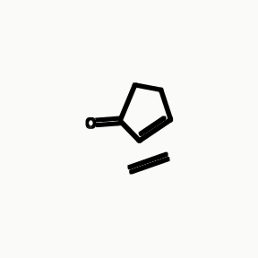 C=C.O=C1C=CCC1